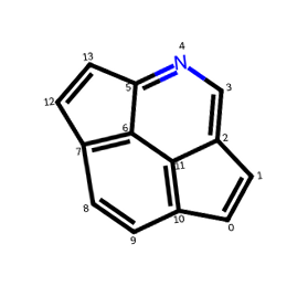 C1=Cc2cnc3c4c(ccc1c24)C=C3